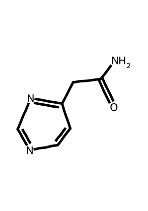 NC(=O)Cc1ccncn1